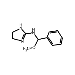 FC(F)(F)OC(NC1=NCCN1)c1ccccc1